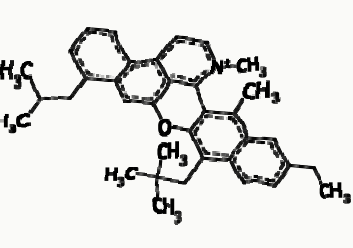 CCc1ccc2c(CC(C)(C)C)c3c(c(C)c2c1)-c1c2c(cc4c(CC(C)C)cccc4c2cc[n+]1C)O3